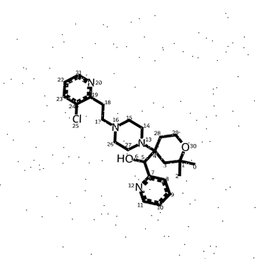 CC1(C)CC(C(O)c2ccccn2)(N2CCN(CCc3ncccc3Cl)CC2)CCO1